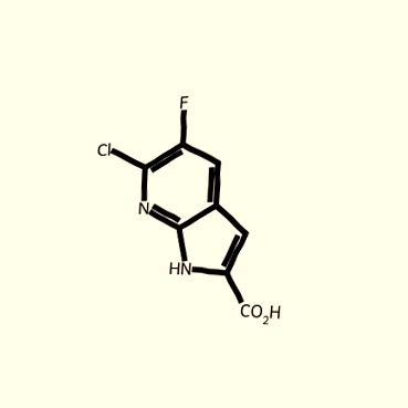 O=C(O)c1cc2cc(F)c(Cl)nc2[nH]1